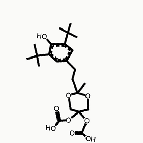 CC1(CCc2cc(C(C)(C)C)c(O)c(C(C)(C)C)c2)OCC(OC(=O)O)(OC(=O)O)CO1